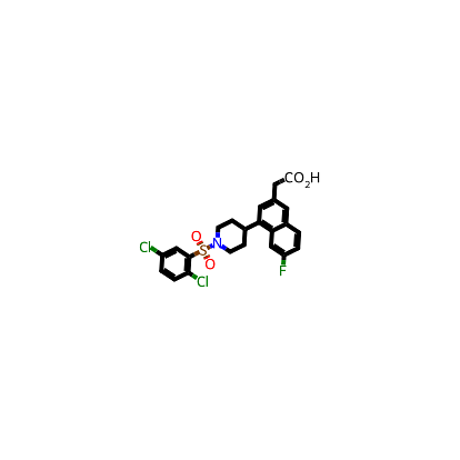 O=C(O)Cc1cc(C2CCN(S(=O)(=O)c3cc(Cl)ccc3Cl)CC2)c2cc(F)ccc2c1